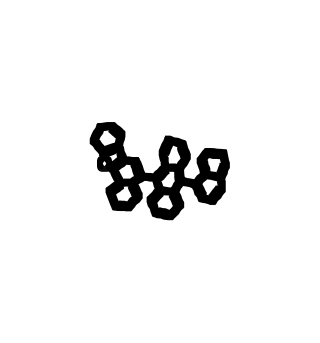 C1=Cc2c(oc3c2cc(-c2c4ccccc4c(-c4cccc5ccccc45)c4ccccc24)c2ccccc23)CC1